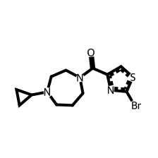 O=C(c1csc(Br)n1)N1CCCN(C2CC2)CC1